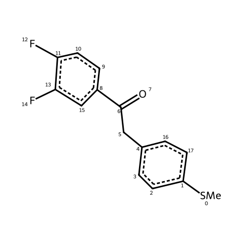 CSc1ccc(CC(=O)c2ccc(F)c(F)c2)cc1